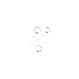 Cc1cccnc1[C@H]1CCC[C@@H](c2ncccc2C)N1CCCc1c[nH]cn1